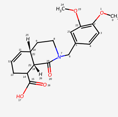 COc1ccc(CN2CC[C@H]3C=CCC(C(=O)O)[C@H]3C2=O)cc1OC